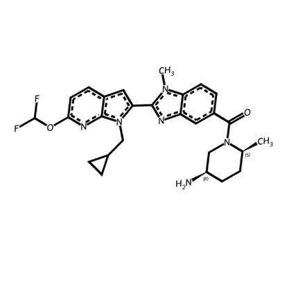 C[C@H]1CC[C@@H](N)CN1C(=O)c1ccc2c(c1)nc(-c1cc3ccc(OC(F)F)nc3n1CC1CC1)n2C